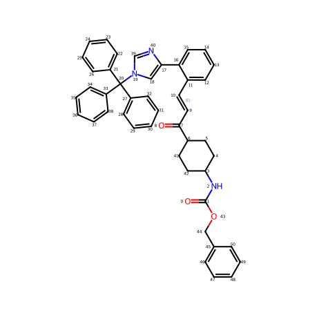 O=C(NC1CCC(C(=O)/C=C/c2ccccc2-c2cn(C(c3ccccc3)(c3ccccc3)c3ccccc3)cn2)CC1)OCc1ccccc1